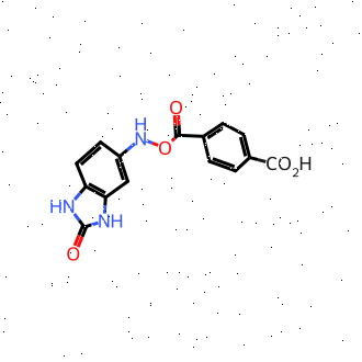 O=C(O)c1ccc(C(=O)ONc2ccc3[nH]c(=O)[nH]c3c2)cc1